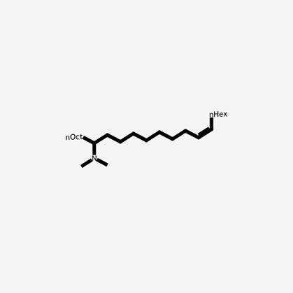 CCCCCC/C=C\CCCCCCCC(CCCCCCCC)N(C)C